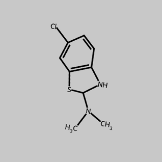 CN(C)C1Nc2ccc(Cl)cc2S1